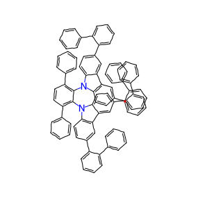 c1ccc(-c2ccccc2-c2ccc3c(c2)c2cc(-c4ccccc4-c4ccccc4)ccc2n3-c2c(-c3ccccc3)ccc(-c3ccccc3)c2-n2c3ccc(-c4ccccc4-c4ccccc4)cc3c3cc(-c4ccccc4-c4ccccc4)ccc32)cc1